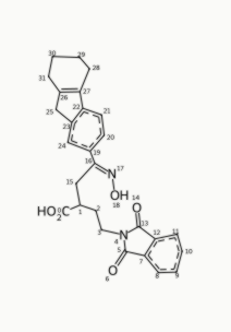 O=C(O)C(CCN1C(=O)c2ccccc2C1=O)CC(=NO)c1ccc2c(c1)CC1=C2CCCC1